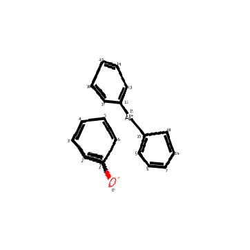 [O-]c1ccccc1.c1cc[c]([Al+][c]2ccccc2)cc1